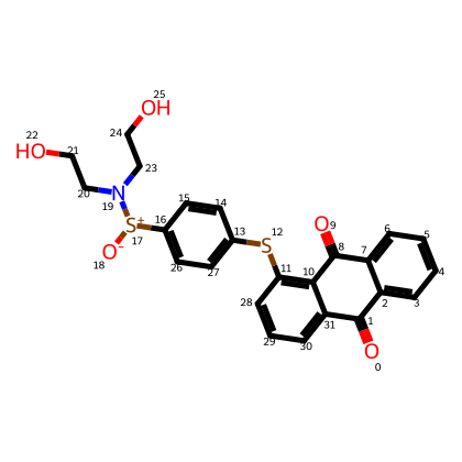 O=C1c2ccccc2C(=O)c2c(Sc3ccc([S+]([O-])N(CCO)CCO)cc3)cccc21